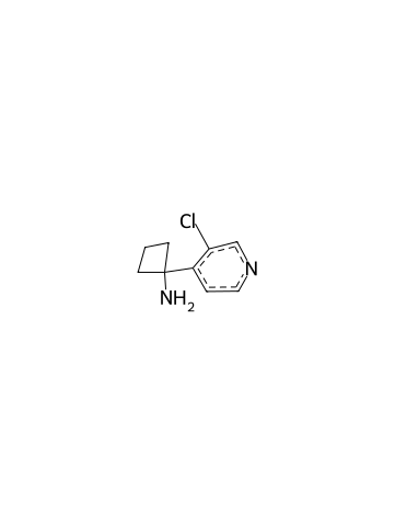 NC1(c2ccncc2Cl)CCC1